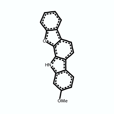 COc1ccc2c(c1)[nH]c1c2ccc2c3ccccc3oc21